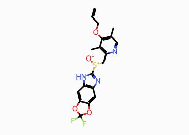 C=CCOc1c(C)cnc(C[S+]([O-])c2nc3cc4c(cc3[nH]2)OC(F)(F)O4)c1C